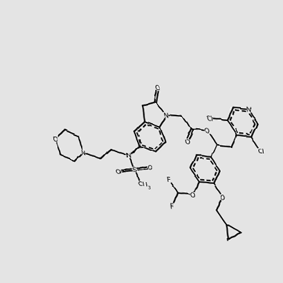 CS(=O)(=O)N(CCN1CCOCC1)c1ccc2c(c1)CC(=O)N2CC(=O)OC(Cc1c(Cl)cncc1Cl)c1ccc(OC(F)F)c(OCC2CC2)c1